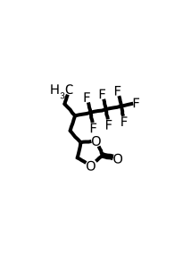 CCC(CC1COC(=O)O1)C(F)(F)C(F)(F)C(F)(F)F